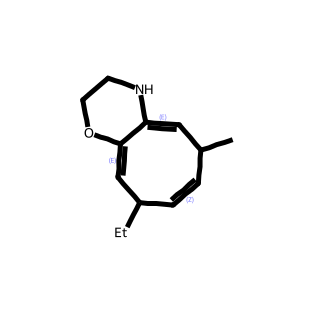 CCC1/C=C\C(C)/C=C2/NCCO/C2=C/1